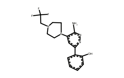 Nc1nnc(-c2ccccc2O)cc1N1CCN(CC(F)(F)F)CC1